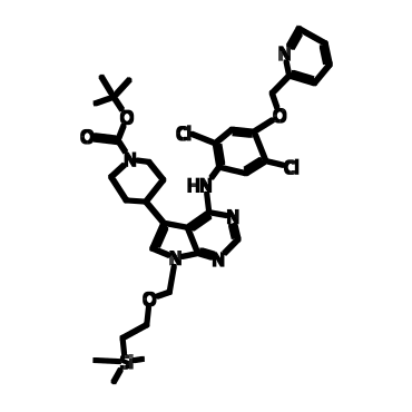 CC(C)(C)OC(=O)N1CCC(c2cn(COCC[Si](C)(C)C)c3ncnc(Nc4cc(Cl)c(OCc5ccccn5)cc4Cl)c23)CC1